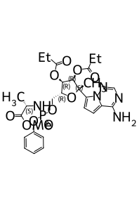 CCC(=O)O[C@H]1[C@@H](OC(=O)CC)[C@](C)(c2ccc3c(N)ncnn23)O[C@@H]1COP(=O)(N[C@@H](C)C(=O)OC)Oc1ccccc1